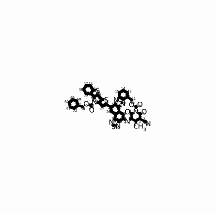 CC1=C(C#N)C(=O)N(C(=O)OCc2ccccc2)C(=O)/C1=N\c1cc2c(cc(-c3cc4c(s3)c3sc5ccccc5c3n4C(=O)OCc3ccccc3)c3nsnc32)c2nsnc12